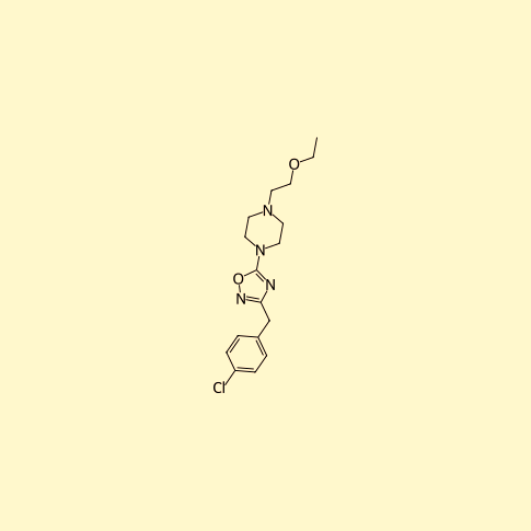 CCOCCN1CCN(c2nc(Cc3ccc(Cl)cc3)no2)CC1